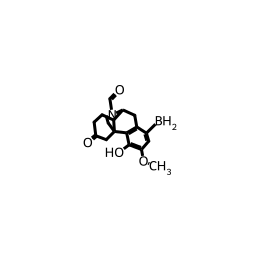 Bc1cc(OC)c(O)c2c1CC1C3CCC(=O)CC23CCN1C=O